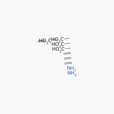 C=C.C=C.C=C.C=C.CC(=O)O.CC(=O)O.CC(=O)O.CC(=O)O.N.N